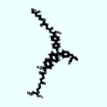 C=CC(=C)OCCOC(=O)CCC(=O)OC(C)c1ccc(-c2ccc(N(c3ccc(C=C(C#N)C#N)cc3)c3ccc(-c4ccc(C(C)OC(=O)CCC(=O)OCCOC(=O)C=C)cc4)cc3)cc2)cc1